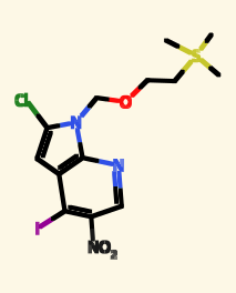 CS(C)(C)CCOCn1c(Cl)cc2c(I)c([N+](=O)[O-])cnc21